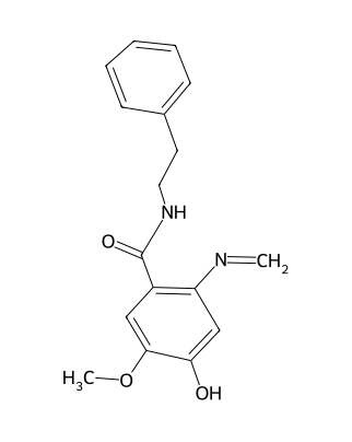 C=Nc1cc(O)c(OC)cc1C(=O)NCCc1ccccc1